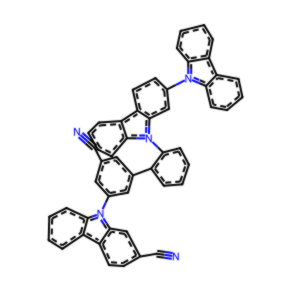 N#Cc1cc(-c2ccccc2-n2c3ccccc3c3ccc(-n4c5ccccc5c5ccccc54)cc32)cc(-n2c3ccccc3c3ccc(C#N)cc32)c1